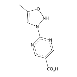 CC1=CN(c2ncc(C(=O)O)cn2)NO1